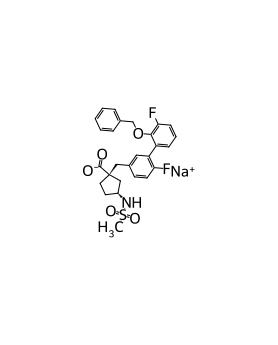 CS(=O)(=O)N[C@H]1CC[C@](Cc2ccc(F)c(-c3cccc(F)c3OCc3ccccc3)c2)(C(=O)[O-])C1.[Na+]